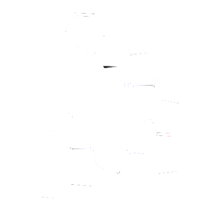 CSCC[C@H](NC(=O)[C@@H](N)CO)C(=O)N[C@@H](CC(C)C)C(=O)N[C@H](C(=O)N[C@@H](Cc1ccccc1)C(=O)O)C(C)C